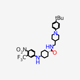 CC(C)(C)c1ccc(N2CCC(CNC(=O)[C@H]3CC[C@H](Nc4ccc([N+](=O)[O-])c(C(F)(F)F)c4)CC3)CC2)cc1